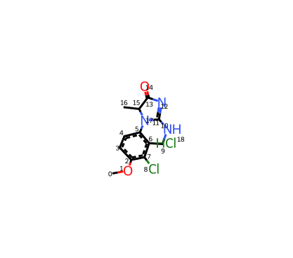 COc1ccc2c(c1Cl)CNC1=NC(=O)C(C)N12.Cl